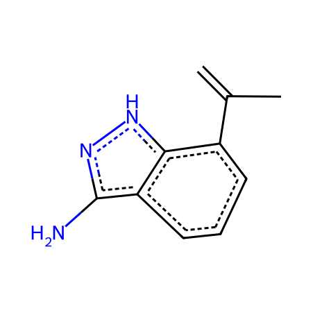 C=C(C)c1cccc2c(N)n[nH]c12